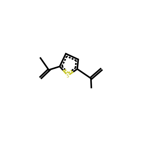 C=C(C)c1ccc(C(=C)C)s1